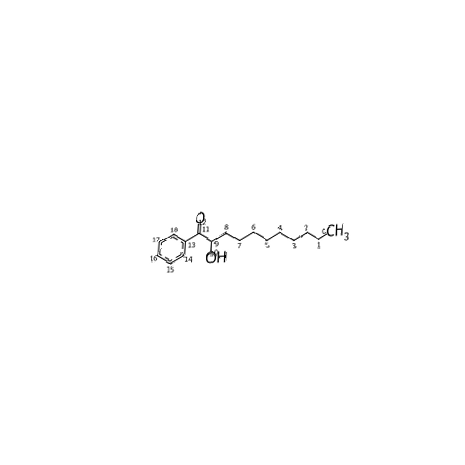 CCCCCCCCCC(O)C(=O)c1ccccc1